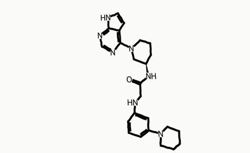 O=C(CNc1cccc(N2CCCCC2)c1)N[C@@H]1CCCN(c2ncnc3[nH]ccc23)C1